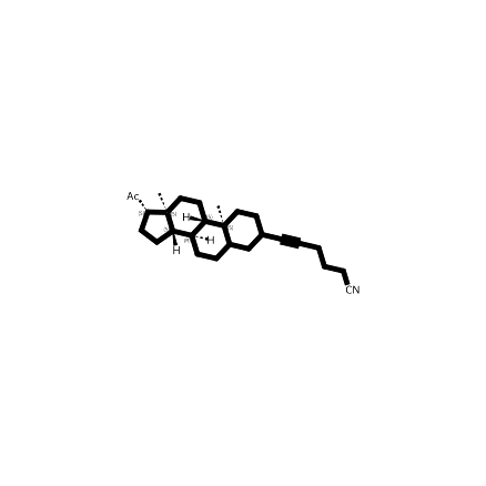 CC(=O)[C@H]1CC[C@H]2[C@@H]3CCC4CC(C#CCCCC#N)CC[C@]4(C)[C@H]3CC[C@]12C